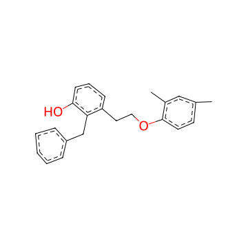 Cc1ccc(OCCc2cccc(O)c2Cc2ccccc2)c(C)c1